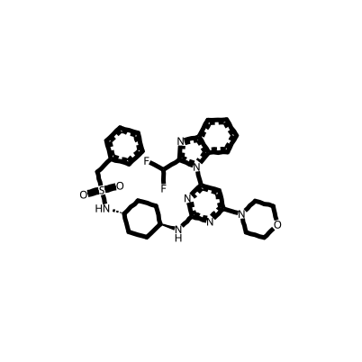 O=S(=O)(Cc1ccccc1)N[C@H]1CC[C@H](Nc2nc(N3CCOCC3)cc(-n3c(C(F)F)nc4ccccc43)n2)CC1